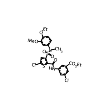 CCOC(=O)c1cc(Cl)cc(NC(=O)c2sc(Cl)cc2S(=O)(=O)N(C)c2ccc(OCC)c(OC)c2)c1